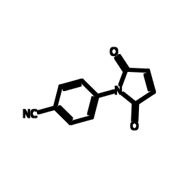 N#Cc1ccc(N2C(=O)C=CC2=O)cc1